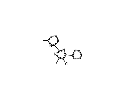 Cc1cccc(-c2nc(C)c(Cl)c(-c3ccccc3)n2)n1